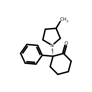 CC1CCN([C@@]2(c3ccccc3)CCCCC2=O)C1